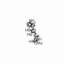 COP(=O)(O)CP(=O)(O)OCC1OC(n2cnc3c(N)ncnc32)C(O)C1O